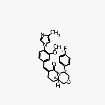 COc1cc(C=C2CC[C@H]3COC[C@H](c4ccc(F)cc4)N3C2=O)ccc1-n1cnc(C)c1